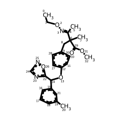 CCON=C(C)C(C)(Cc1ccc(OC(c2cccc(C)c2)c2ncno2)cc1)C(=O)OC